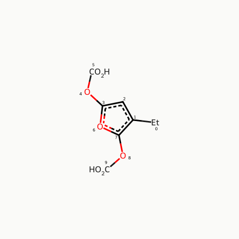 CCc1cc(OC(=O)O)oc1OC(=O)O